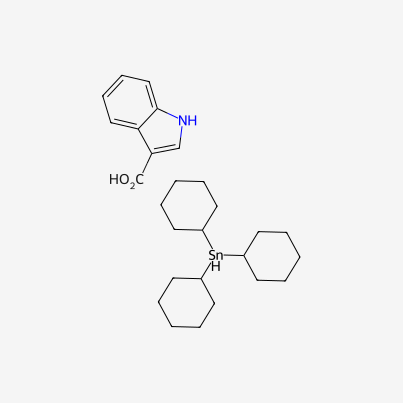 C1CC[CH]([SnH]([CH]2CCCCC2)[CH]2CCCCC2)CC1.O=C(O)c1c[nH]c2ccccc12